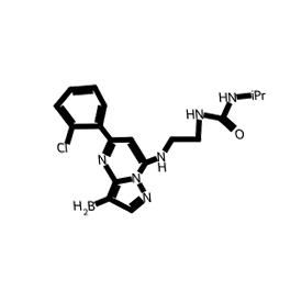 Bc1cnn2c(NCCNC(=O)NC(C)C)cc(-c3ccccc3Cl)nc12